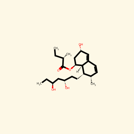 CC[C@H](O)C[C@@H](O)CC[C@@H]1[C@@H]2C(=C[C@@H](O)C[C@@H]2OC(=O)[C@@H](C)CC)C=C[C@@H]1C